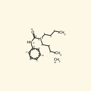 CCCC[S+](CCCC)C(=O)Nc1ccccc1.[CH3-]